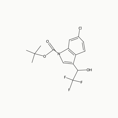 CC(C)(C)OC(=O)n1cc(C(O)C(F)(F)F)c2ccc(Cl)cc21